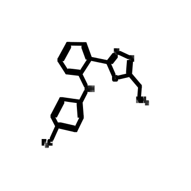 NCc1nnc(-c2ccccc2Nc2ccc(C(F)(F)F)cc2)o1